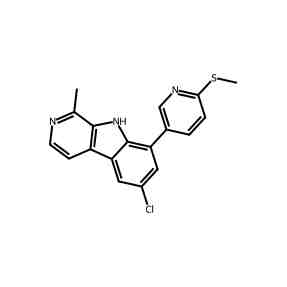 CSc1ccc(-c2cc(Cl)cc3c2[nH]c2c(C)nccc23)cn1